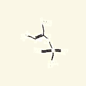 CS/C(=C\[N+](=O)[O-])NS(C)(=O)=O